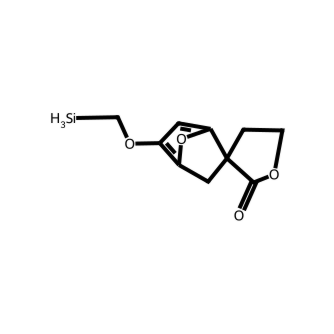 O=C1OCCC12Cc1oc2cc1OC[SiH3]